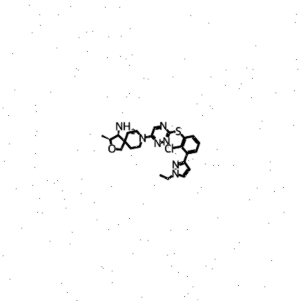 CCn1ccc(-c2cccc(Sc3ncc(N4CCC5(CC4)CO[C@@H](C)[C@H]5N)nn3)c2Cl)n1